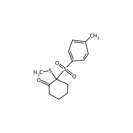 CSC1(S(=O)(=O)c2ccc(C)cc2)CCCCC1=O